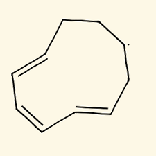 [CH]1C/C=C/C=C\C=C\CC1